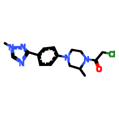 CC1CN(c2ccc(-c3ncn(C)n3)cc2)CCN1C(=O)CCl